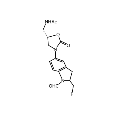 CC(=O)NC[C@H]1CN(c2ccc3c(c2)CC(CF)N3C=O)C(=O)O1